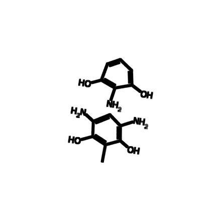 Cc1c(O)c(N)cc(N)c1O.Nc1c(O)cccc1O